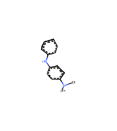 CCCN(CC)c1ccc(Nc2ccccc2)cc1